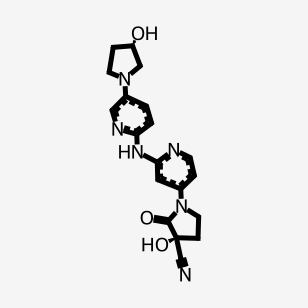 N#C[C@@]1(O)CCN(c2ccnc(Nc3ccc(N4CC[C@H](O)C4)cn3)c2)C1=O